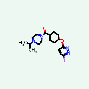 CC(C)N1CCN(C(=O)C2CCC(Oc3ccc(I)nn3)CC2)CC1